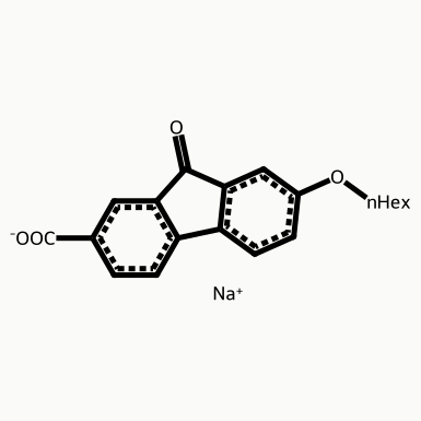 CCCCCCOc1ccc2c(c1)C(=O)c1cc(C(=O)[O-])ccc1-2.[Na+]